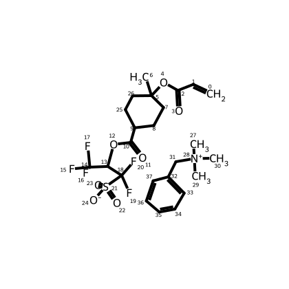 C=CC(=O)OC1(C)CCC(C(=O)OC(C(F)(F)F)C(F)(F)S(=O)(=O)[O-])CC1.C[N+](C)(C)Cc1ccccc1